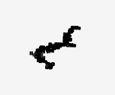 COc1ccc(C2=CN3C(=O)c4cc(OC)c(OCCCOc5cc6c(cc5OC)C(=O)N5C=C(c7cccc(NC(=O)C(C)NC(=O)C(NC(=O)CCCCCN8C(=O)C=CC8=O)C(C)C)c7)C[C@H]5C=N6)cc4N=C[C@@H]3C2)cc1